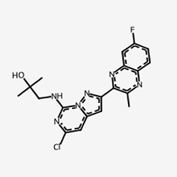 Cc1nc2ccc(F)cc2nc1-c1cc2cc(Cl)nc(NCC(C)(C)O)n2n1